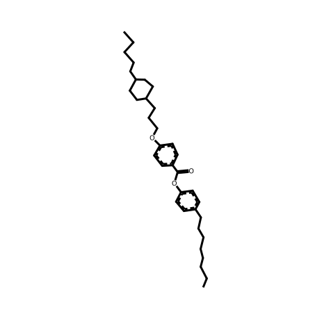 CCCCCCCCc1ccc(OC(=O)c2ccc(OCCCC3CCC(CCCCC)CC3)cc2)cc1